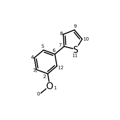 COc1[c]ccc(-c2cccs2)c1